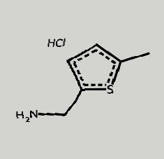 Cc1ccc(CN)s1.Cl